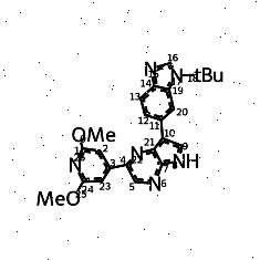 COc1cc(-c2cnc3[nH]cc(-c4ccc5ncn(C(C)(C)C)c5c4)c3n2)cc(OC)n1